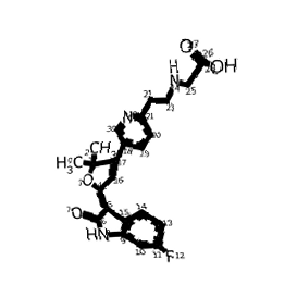 CC1(C)OC(=C2C(=O)Nc3cc(F)ccc32)C=C1c1ccc(CCNCC(=O)O)nc1